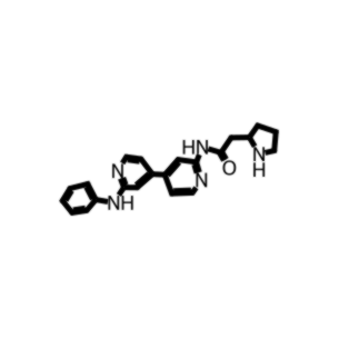 O=C(CC1CCCN1)Nc1cc(-c2ccnc(Nc3ccccc3)c2)ccn1